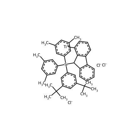 Cc1cc(C)cc([Si](c2cc(C)cc(C)c2)(c2cc(C(C)(C)C)cc(C(C)(C)C)c2)C2c3ccccc3-c3ccc[c]([Ti+3])c32)c1.[Cl-].[Cl-].[Cl-]